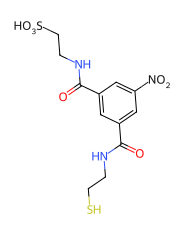 O=C(NCCS)c1cc(C(=O)NCCS(=O)(=O)O)cc([N+](=O)[O-])c1